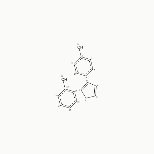 C1=CCC=C1.Oc1ccccc1.Oc1ccccc1